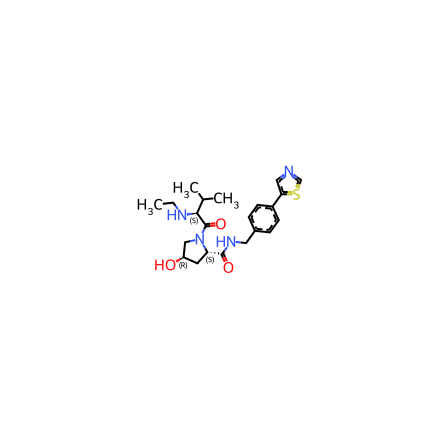 CCN[C@H](C(=O)N1C[C@H](O)C[C@H]1C(=O)NCc1ccc(-c2cncs2)cc1)C(C)C